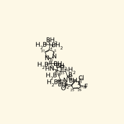 BC(B)(B)c1cnc(C(B)(B)NC(B)(B)C2(F)CC(B)(B)N(C(=O)c3ccc(F)c(Cl)c3)C(B)(B)C2)nc1